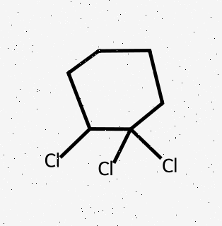 ClC1CCCCC1(Cl)Cl